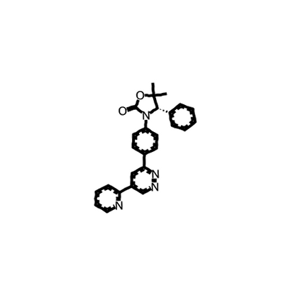 CC1(C)OC(=O)N(c2ccc(-c3cc(-c4ccccn4)cnn3)cc2)[C@H]1c1ccccc1